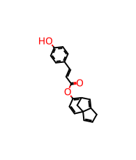 O=C(C=Cc1ccc(O)cc1)OC1=C2C=C3CC=CC3(C=C1)C2